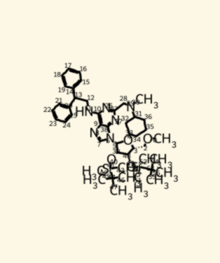 COC[C@H]1O[C@@H](n2cnc3c(NCC(c4ccccc4)c4ccccc4)nc(CN(C)C4CCCCC4)nc32)[C@@H](O[Si](C)(C)C(C)(C)C)[C@@H]1O[Si](C)(C)C(C)(C)C